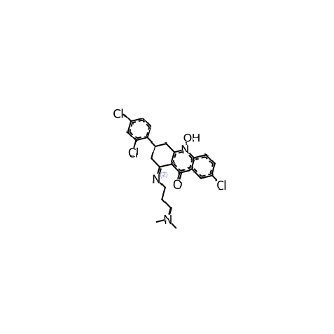 CN(C)CCC/N=C1/CC(c2ccc(Cl)cc2Cl)Cc2c1c(=O)c1cc(Cl)ccc1n2O